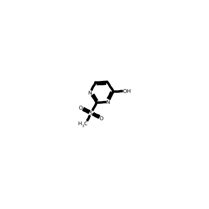 CS(=O)(=O)c1nccc(O)n1